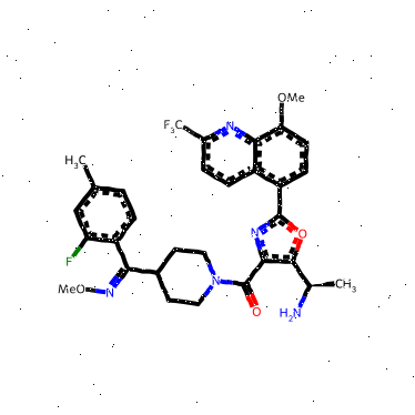 CO/N=C(\c1ccc(C)cc1F)C1CCN(C(=O)c2nc(-c3ccc(OC)c4nc(C(F)(F)F)ccc34)oc2[C@@H](C)N)CC1